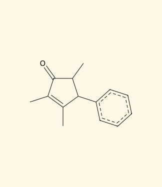 CC1=C(C)C(c2ccccc2)C(C)C1=O